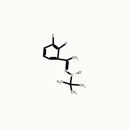 C/C(=N\[S@+]([O-])C(C)(C)C)c1cccc(F)c1F